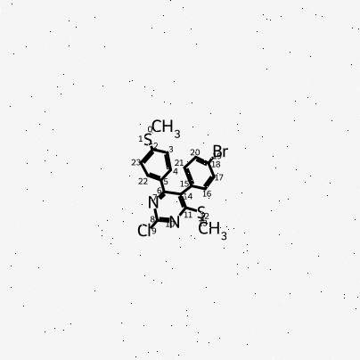 CSc1ccc(-c2nc(Cl)nc(SC)c2-c2ccc(Br)cc2)cc1